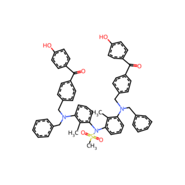 Cc1c(N(Cc2ccccc2)Cc2ccc(C(=O)c3ccc(O)cc3)cc2)cccc1N(c1cccc(N(Cc2ccccc2)Cc2ccc(C(=O)c3ccc(O)cc3)cc2)c1C)S(C)(=O)=O